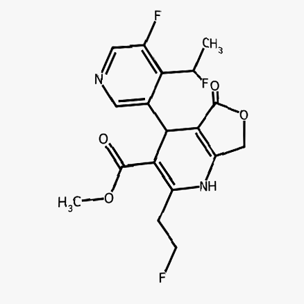 COC(=O)C1=C(CCF)NC2=C(C(=O)OC2)C1c1cncc(F)c1C(C)F